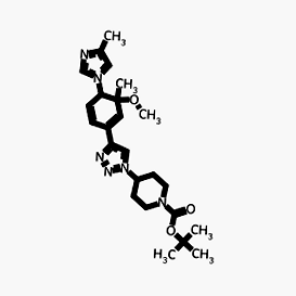 COC1(C)C=C(c2cn(C3CCN(C(=O)OC(C)(C)C)CC3)nn2)C=CC1n1cnc(C)c1